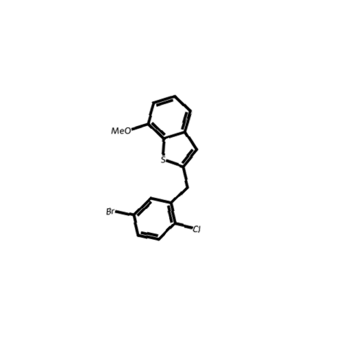 COc1cccc2cc(Cc3cc(Br)ccc3Cl)sc12